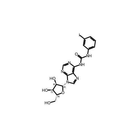 O=C(Nc1cccc(I)c1)Nc1ncnc2c1ncn2[C@@H]1O[C@H](CO)[C@@H](O)[C@H]1O